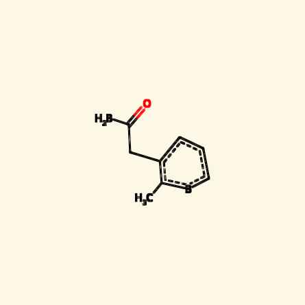 BC(=O)Cc1cccbc1C